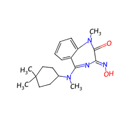 CN(c1nc(=NO)c(=O)n(C)c2ccccc12)C1CCC(C)(C)CC1